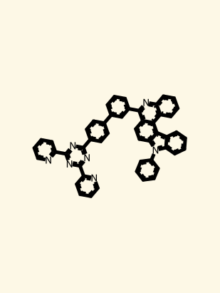 c1ccc(-n2c3ccccc3c3c4c(ccc32)c(-c2cccc(-c3ccc(-c5nc(-c6ccccn6)nc(-c6ccccn6)n5)cc3)c2)nc2ccccc24)cc1